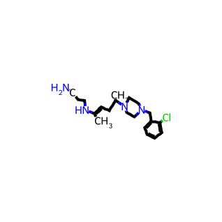 C/C(=C\CC(C)N1CCN(Cc2ccccc2Cl)CC1)NCCCN